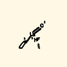 F.[O]=[La][Cl]